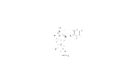 CC1(C)[C@@H]2[C@@H](C(=O)N[C@@H](CC[C@@H]3CCNC3=O)C(=O)C(N)=O)N(C(=O)CNc3c(F)cc(F)cc3F)C[C@@H]21